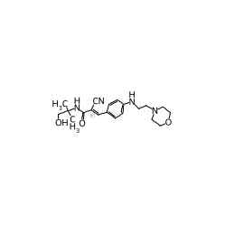 CC(C)(CO)NC(=O)/C(C#N)=C/c1ccc(NCCN2CCOCC2)cc1